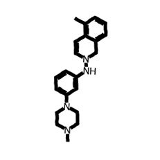 Cc1cccc2c1C=CN(Nc1cccc(N3CCN(C)CC3)c1)C2